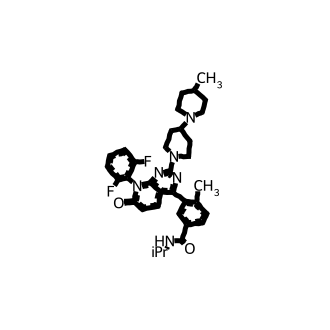 Cc1ccc(C(=O)NC(C)C)cc1-c1nc(N2CCC(N3CCC(C)CC3)CC2)nc2c1ccc(=O)n2-c1c(F)cccc1F